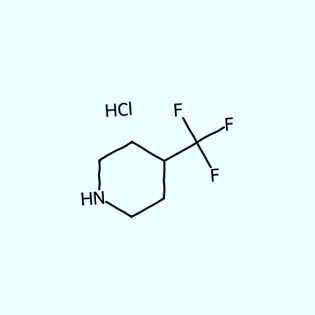 Cl.FC(F)(F)C1CCNCC1